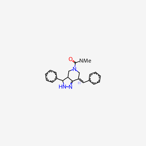 CNC(=O)N1C/C(=C\c2ccccc2)C2=NNC(c3ccccc3)C2C1